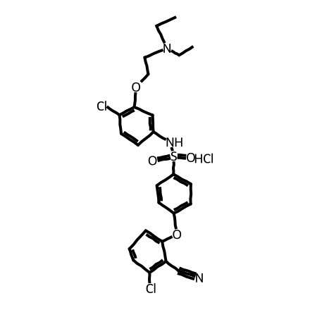 CCN(CC)CCOc1cc(NS(=O)(=O)c2ccc(Oc3cccc(Cl)c3C#N)cc2)ccc1Cl.Cl